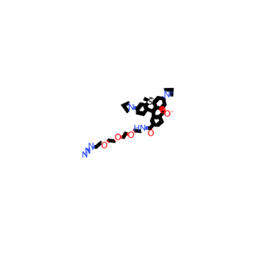 C[Si]1(C)C2=CC(=[N+]3CCC3)C=CC2=C(c2cc(C(=O)NCCOCCOCCOCCN=[N+]=[N-])ccc2C(=O)[O-])c2ccc(N3CCC3)cc21